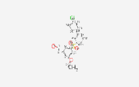 CCOc1cc(CC=O)cc(S(=O)(=O)c2cccc(-c3ccc(Cl)cc3)c2)c1